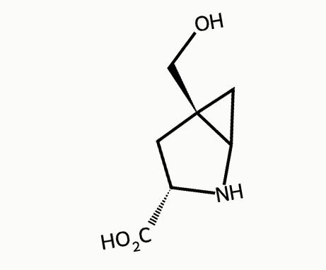 O=C(O)[C@@H]1C[C@]2(CO)CC2N1